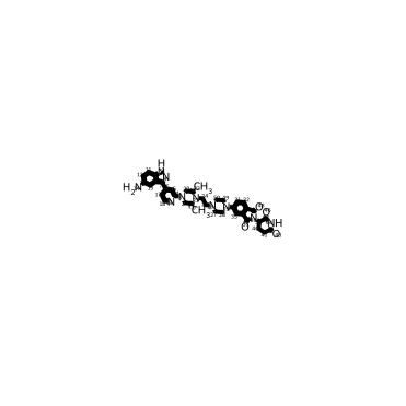 C[C@@H]1CN(c2cc(-c3n[nH]c4ccc(N)cc34)ccn2)C[C@H](C)N1CCN1CCN(c2ccc3c(c2)C(=O)N(C2CCC(=O)NC2=O)C3=O)CC1